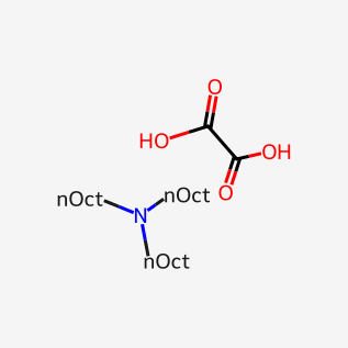 CCCCCCCCN(CCCCCCCC)CCCCCCCC.O=C(O)C(=O)O